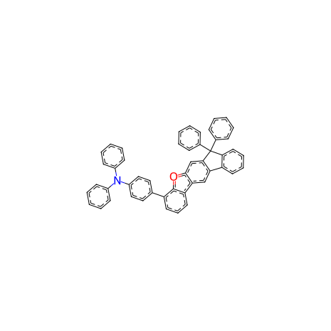 c1ccc(N(c2ccccc2)c2ccc(-c3cccc4c3oc3cc5c(cc34)-c3ccccc3C5(c3ccccc3)c3ccccc3)cc2)cc1